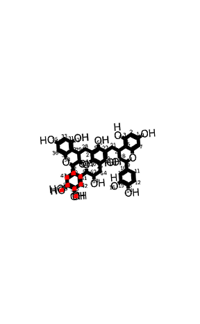 Oc1cc(O)c2c(c1)OC(c1ccc(O)c(O)c1)C(O)C2Cc1c(O)c2c(c(CC3c4c(O)cc(O)cc4OC(c4ccc(O)c(O)c4)C3O)c1O)OC(c1ccc(O)c(O)c1)C(O)C2